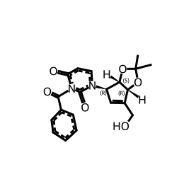 CC1(C)O[C@@H]2[C@H](O1)C(CO)=C[C@H]2n1ccc(=O)n(C(=O)c2ccccc2)c1=O